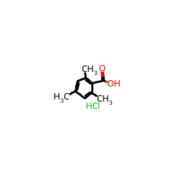 Cc1cc(C)c(C(=O)O)c(C)c1.Cl